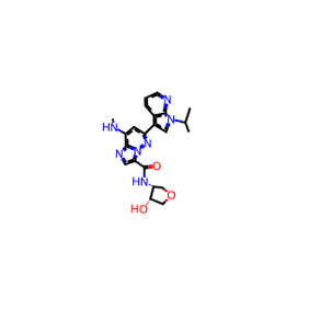 CNc1cc(-c2cn(C(C)C)c3ncccc23)nn2c(C(=O)N[C@@H]3COC[C@@H]3O)cnc12